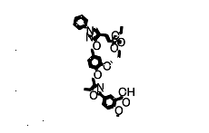 CCOP(=O)(C=Cc1cn(-c2ccccc2)nc1OCc1ccc(OCc2nc(-c3ccc(OC)c(C(=O)O)c3)oc2C)c(OC)c1)OCC